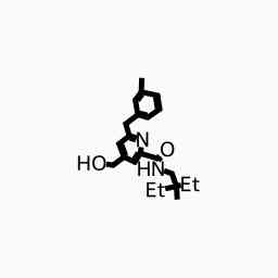 CCC(C)(CC)CNC(=O)c1cc(CO)cc(Cc2cccc(C)c2)n1